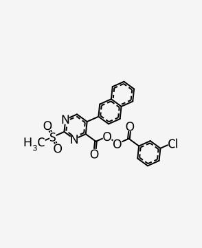 CS(=O)(=O)c1ncc(-c2ccc3ccccc3c2)c(C(=O)OOC(=O)c2cccc(Cl)c2)n1